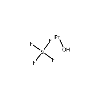 CC(C)O.F[Si](F)(F)F